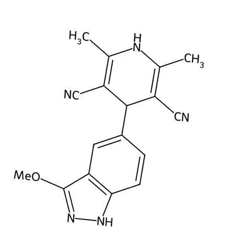 COc1n[nH]c2ccc(C3C(C#N)=C(C)NC(C)=C3C#N)cc12